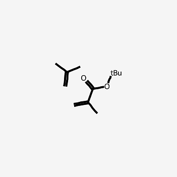 C=C(C)C.C=C(C)C(=O)OC(C)(C)C